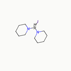 I[SiH](N1CCCCC1)N1CCCCC1